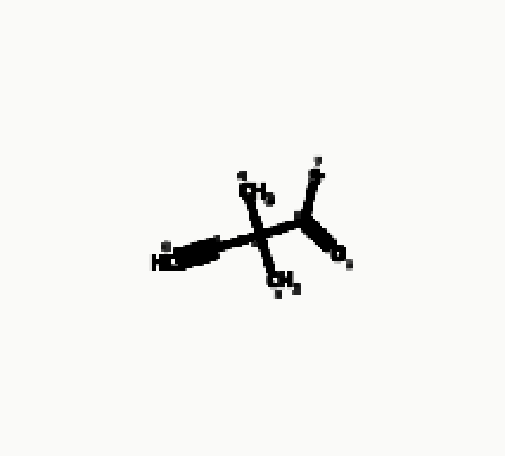 C#CC(C)(C)C(=O)[S]